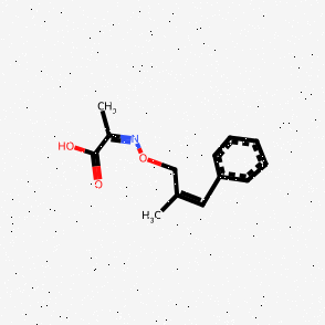 CC(=Cc1ccccc1)CON=C(C)C(=O)O